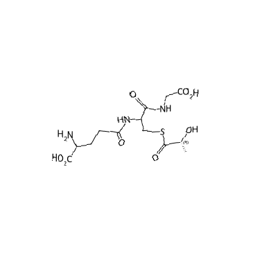 C[C@@H](O)C(=O)SCC(NC(=O)CCC(N)C(=O)O)C(=O)NCC(=O)O